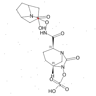 O=C(NOC1CC2CCC(C1)N2C(=O)O)[C@@H]1CC[C@@H]2CN1C(=O)N2OS(=O)(=O)O